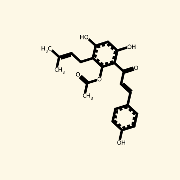 CC(=O)Oc1c(CC=C(C)C)c(O)cc(O)c1C(=O)C=Cc1ccc(O)cc1